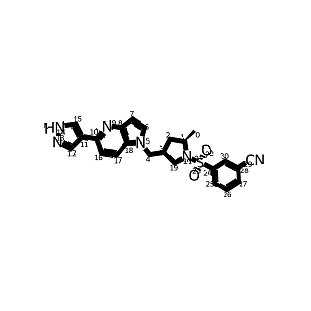 C[C@@H]1CC(Cn2ccc3nc(-c4cn[nH]c4)ccc32)CN1S(=O)(=O)c1cccc(C#N)c1